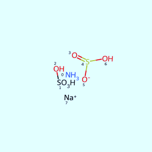 N.O=S(=O)(O)O.O=S([O-])O.[Na+]